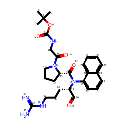 CC(C)(C)OC(=O)NCC(=O)N1CCC[C@H]1C(=O)N(c1cccc2ccccc12)[C@H](C=O)CCCNC(=N)N